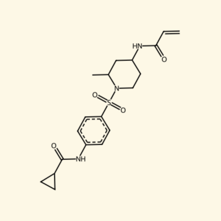 C=CC(=O)NC1CCN(S(=O)(=O)c2ccc(NC(=O)C3CC3)cc2)C(C)C1